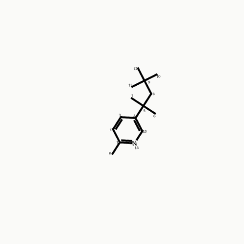 Cc1ccc(C(C)(C)CC(C)(C)C)cn1